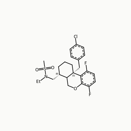 CCN(C[C@@H]1CCC[C@@]2(Cc3ccc(Cl)cc3)c3c(F)ccc(F)c3OCC12)S(C)(=O)=O